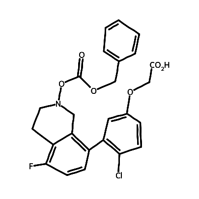 O=C(O)COc1ccc(Cl)c(-c2ccc(F)c3c2CN(OC(=O)OCc2ccccc2)CC3)c1